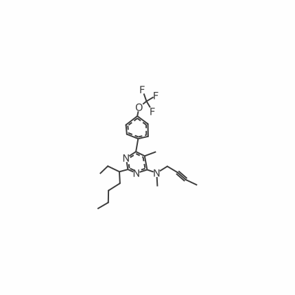 CC#CCN(C)c1nc(C(CC)CCCC)nc(-c2ccc(OC(F)(F)F)cc2)c1C